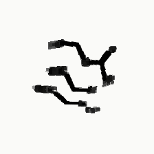 CC(=O)CC(=O)[O-].CC(=O)CC(=O)[O-].CCCC(=O)OCO.[Ca+2]